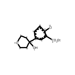 CCOC(=O)c1cc(C2(O)CCOCC2)ccc1Cl